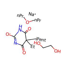 CCCC(C)C1(CC)C(=O)N=C([O-])NC1=O.CCCOCCC.OCCO.[Na+]